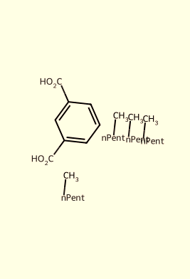 CCCCCC.CCCCCC.CCCCCC.CCCCCC.O=C(O)c1cccc(C(=O)O)c1